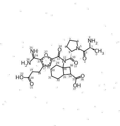 C[C@H](N)C(=O)N1CCC[C@H]1C(=O)N(C(=O)c1cc(CCC(=O)O)c(C(=N)N)o1)C12CCCCC1C(C(=O)O)C2